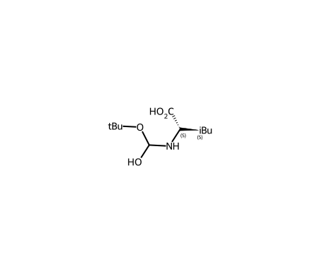 CC[C@H](C)[C@H](NC(O)OC(C)(C)C)C(=O)O